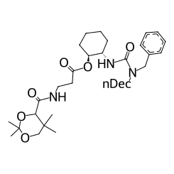 CCCCCCCCCCN(Cc1ccccc1)C(=O)N[C@H]1CCCC[C@@H]1OC(=O)CCNC(=O)C1OC(C)(C)OCC1(C)C